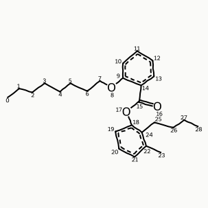 CCCCCCCCOc1ccccc1C(=O)Oc1cccc(C)c1CCCC